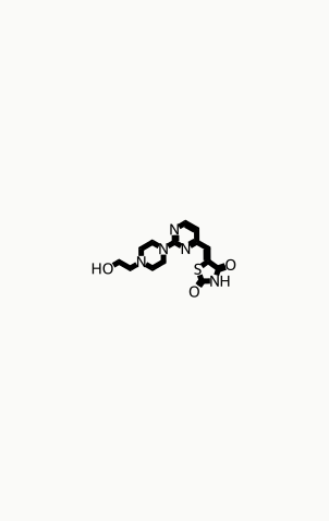 O=C1NC(=O)C(=Cc2ccnc(N3CCN(CCO)CC3)n2)S1